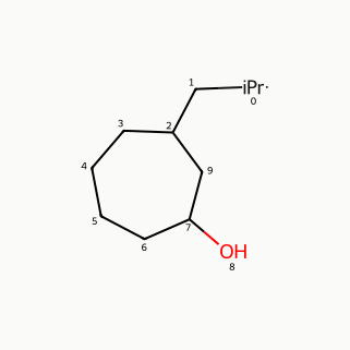 C[C](C)CC1CCCCC(O)C1